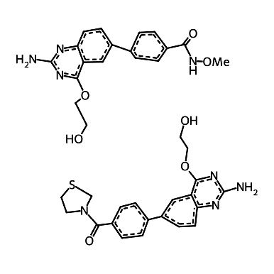 CONC(=O)c1ccc(-c2ccc3nc(N)nc(OCCO)c3c2)cc1.Nc1nc(OCCO)c2cc(-c3ccc(C(=O)N4CCSC4)cc3)ccc2n1